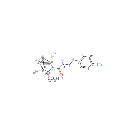 O=C(NCCc1ccc(Cl)cc1)C1[C@H](C(=O)O)[C@H]2C=C[C@@H]1C21CC1